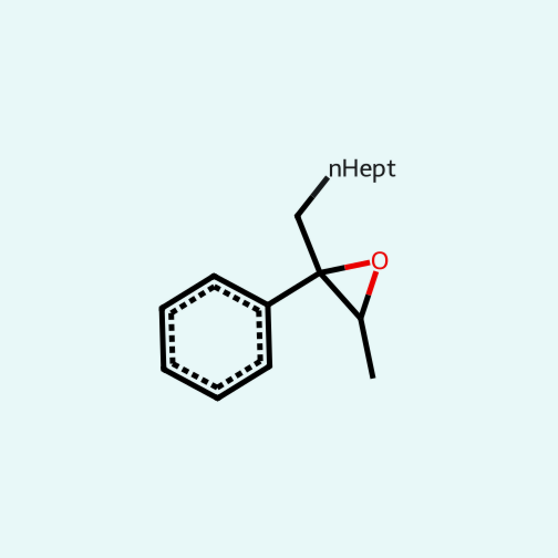 CCCCCCCCC1(c2ccccc2)OC1C